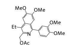 CCc1c(COC(C)=O)nc(-c2ccc(OC)c(OC)c2)c2cc(OC)c(OC)cc12